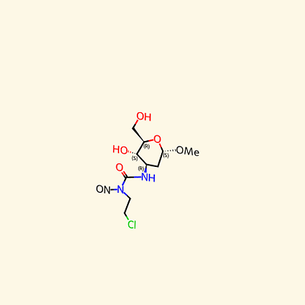 CO[C@@H]1C[C@@H](NC(=O)N(CCCl)N=O)[C@H](O)[C@@H](CO)O1